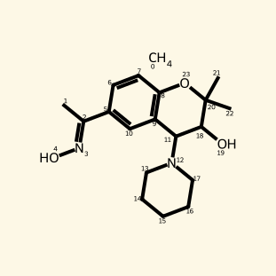 C.CC(=NO)c1ccc2c(c1)C(N1CCCCC1)C(O)C(C)(C)O2